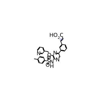 Cc1ccc(S(=O)(=O)Nc2ncc(-c3cccc(/C=C/C(=O)O)c3)nc2OCc2cccnc2)cc1